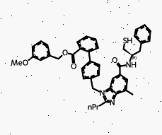 CCCc1nc2c(C)cc(C(=O)N[C@@H](CS)Cc3ccccc3)cc2n1Cc1ccc(-c2ccccc2C(=O)OCc2cccc(OC)c2)cc1